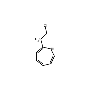 ClC[SiH2]C1=CC=CC=CN1